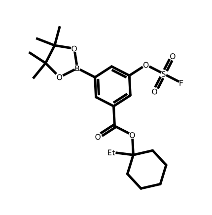 CCC1(OC(=O)c2cc(OS(=O)(=O)F)cc(B3OC(C)(C)C(C)(C)O3)c2)CCCCC1